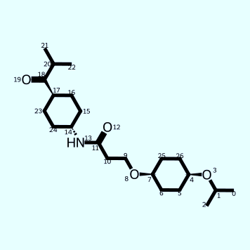 CC(C)O[C@H]1CC[C@@H](OCCC(=O)N[C@H]2CC[C@H](C(=O)C(C)C)CC2)CC1